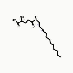 CCCCCCCCC/C=C/C=C/N(C)C(=O)CCC(N)C(=O)O